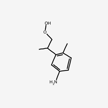 Cc1ccc(N)cc1C(C)COO